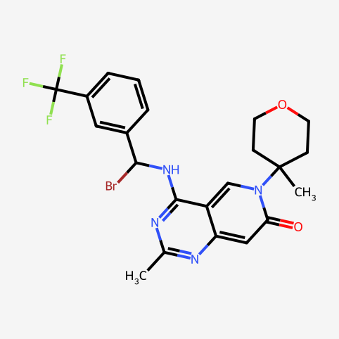 Cc1nc(NC(Br)c2cccc(C(F)(F)F)c2)c2cn(C3(C)CCOCC3)c(=O)cc2n1